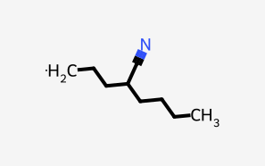 [CH2]CCC(C#N)CCCC